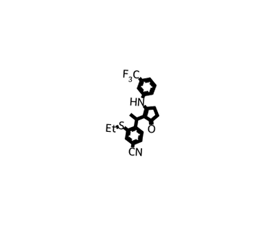 CCSc1cc(C#N)ccc1C(C)C1=C(Nc2cccc(C(F)(F)F)c2)CCC1=O